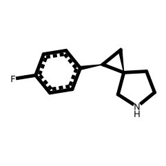 Fc1ccc([C@H]2C[C@]23CCNC3)cc1